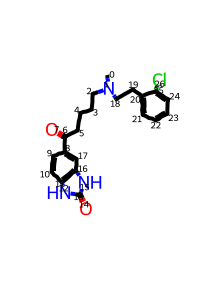 CN(CCCCC(=O)c1ccc2[nH]c(=O)[nH]c2c1)CCc1ccccc1Cl